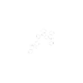 CC1CC=Cc2c1n(-c1cccc(-c3ccc4c(c3)NC(c3ccccc3)S4)c1)c1ccc(Nc3ccccc3)c(-c3ccccc3)c21